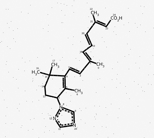 CC(C=CC1=C(C)C(n2cncn2)CCC1(C)C)=CC=CC(C)=CC(=O)O